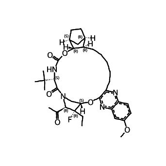 CC[C@]1(F)[C@@H]2CN(C(=O)[C@H](C(C)(C)C)NC(=O)O[C@@H]3[C@H]4CC[C@H](C4)[C@H]3CCCCCc3nc4ccc(OC)cc4nc3O2)[C@@H]1C(C)=O